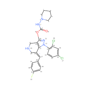 O=C(NN1CCCCC1)Oc1nn(-c2ccc(Cl)cc2Cl)c2c1CNC/C2=C\c1ccc(F)cc1